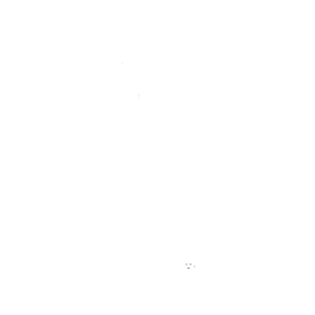 COc1ccc2c(c1)C(=O)/C(=C/c1ccc(N3CCN(C)CC3)cc1)CC2